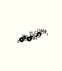 COc1c(C)cnc(CSc2nc3cc(OS(=O)(=O)c4ccc(F)cc4)ccc3[nH]2)c1C